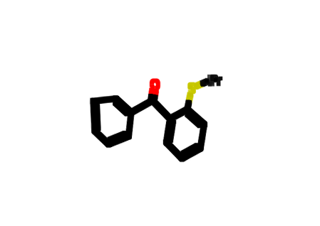 CC(C)Sc1ccccc1C(=O)c1ccccc1